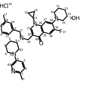 Cc1ccc(N2CCC[C@H](N(Cc3ccnc(C)c3)Cc3cn(C4CC4)c4cc(N5CCC[C@H](O)C5)c(F)cc4c3=O)C2)cn1.Cl